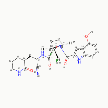 COc1cccc2[nH]c(C(=O)N3[C@@H]4CC[C@H]([C@H]3C(=O)N[C@H](C#N)C[C@@H]3CCCNC3=O)C(F)(F)C4)cc12